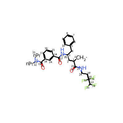 [CH2]C(C[C@H](Cc1ccccc1)NC(=O)c1cccc(C(=O)N(CCC)CCC)c1)C(=O)NCCC(F)(F)C(F)F